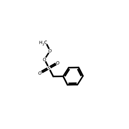 COOS(=O)(=O)Cc1ccccc1